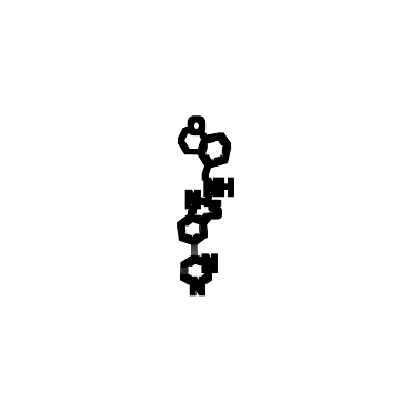 c1cc(CNc2nc3ccc(-c4ccncn4)cc3s2)c2c(c1)OCCC2